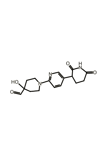 O=CC1(O)CCN(c2ccc(C3CCC(=O)NC3=O)cn2)CC1